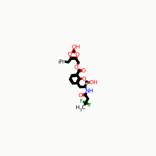 CC(C)CC1=C(COC(=O)c2cccc3c2OB(O)[C@@H](NC(=O)CC(C)(F)F)C3)OC(O)O1